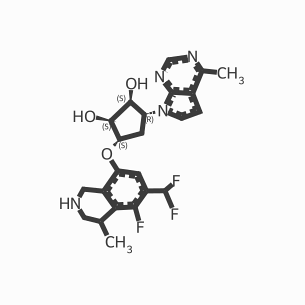 Cc1ncnc2c1ccn2[C@@H]1C[C@H](Oc2cc(C(F)F)c(F)c3c2CNCC3C)[C@@H](O)[C@H]1O